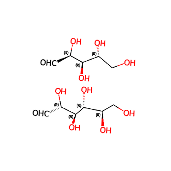 O=C[C@@H](O)[C@H](O)[C@H](O)CO.O=C[C@H](O)[C@H](O)[C@H](O)[C@H](O)CO